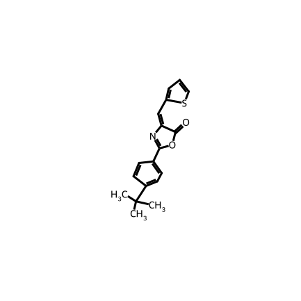 CC(C)(C)c1ccc(C2=NC(=Cc3cccs3)C(=O)O2)cc1